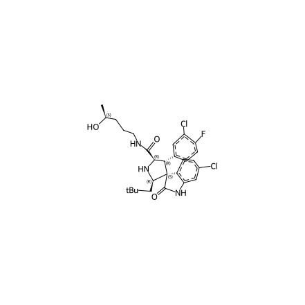 C[C@H](O)CCCNC(=O)[C@@H]1N[C@H](CC(C)(C)C)[C@]2(C(=O)Nc3cc(Cl)ccc32)[C@H]1c1ccc(F)c(Cl)c1